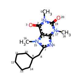 Cn1c(=O)c2c(nc(CC3CCCCC3)n2C)n(C)c1=O